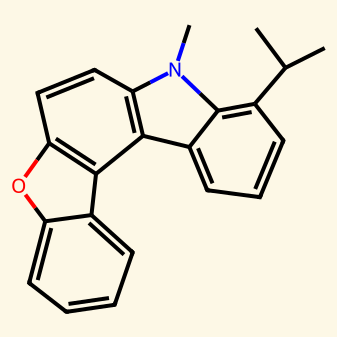 CC(C)c1cccc2c3c4c(ccc3n(C)c12)oc1ccccc14